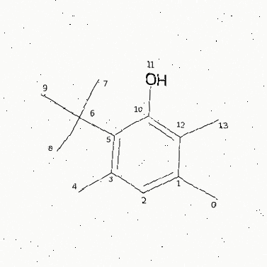 Cc1cc(C)c(C(C)(C)C)c(O)c1C